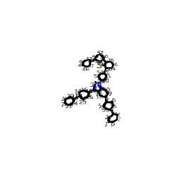 c1ccc(-c2ccc(-c3ccc4c(c3)c(-c3ccc(-c5ccccc5)cc3)cn4-c3ccc(-c4cccc5c4sc4c(-c6ccccc6)cccc45)cc3)cc2)cc1